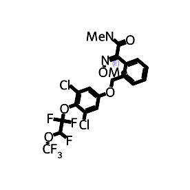 CNC(=O)/C(=N/OC)c1ccccc1COc1cc(Cl)c(OC(F)(F)C(F)OC(F)(F)F)c(Cl)c1